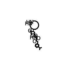 CC(C)c1cccc(CC(=O)C(=O)NOC2CC([C@@H]3CCCCCCCCNNCCC3)C(=O)CO2)c1